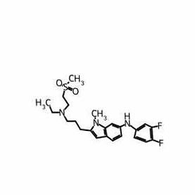 CCN(CCCc1cc2ccc(Nc3ccc(F)c(F)c3)cc2n1C)CCS(C)(=O)=O